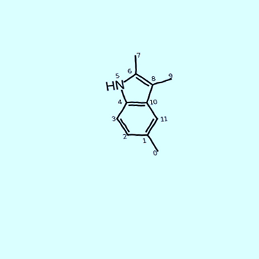 Cc1ccc2[nH]c(C)c(C)c2c1